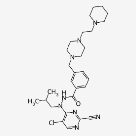 CC(C)CN(NC(=O)c1cccc(CN2CCN(CCN3CCCCC3)CC2)c1)c1nc(C#N)ncc1Cl